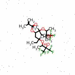 C=C(C)C(=O)OC(CC(C)(CC)OC(C)C(O)(C(F)(F)F)C(F)(F)F)C(C)(CC)OC(C)C(C)(O)C(F)(F)F